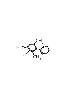 Cc1cc(C)c(-c2bcccc2)c(C)c1Cl